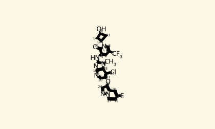 Cn1c(Nc2cc(C(F)(F)F)cn([C@H]3C[C@H](O)C3)c2=O)nc2ncc(Oc3cnn4ccc(F)cc34)c(Cl)c21